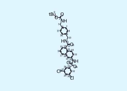 CC(C)(C)OC(=O)NCc1ccc(CNC(=O)c2cccc3cc(NS(=O)(=O)c4cc(Cl)cc(Cl)c4)ccc23)cc1